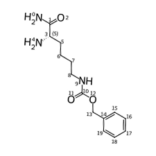 NC(=O)[C@@H](N)CCCCNC(=O)OCc1ccccc1